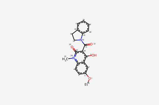 CCOc1ccc2c(c1)c(O)c(C(=O)N1CCc3ccccc31)c(=O)n2C